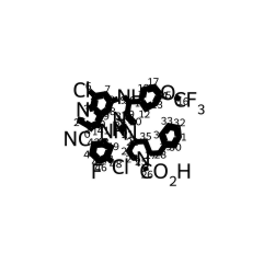 N#Cc1cnc2c(Cl)cc(NC(c3ccc(OC(F)(F)F)cc3)c3cn(C4CCN(C(=O)O)C(Cc5ccccc5)C4)nn3)cc2c1Nc1ccc(F)c(Cl)c1